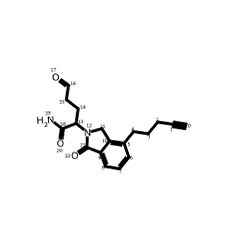 C#CCCCc1cccc2c1CN(C(CCC=O)C(N)=O)C2=O